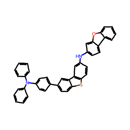 c1ccc(N(c2ccccc2)c2ccc(-c3ccc4sc5ccc(Nc6ccc7c(c6)oc6ccccc67)cc5c4c3)cc2)cc1